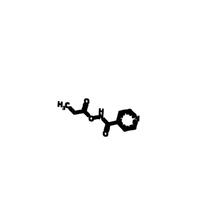 CCC(=O)ONC(=O)c1ccncc1